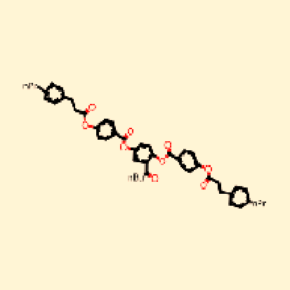 CCCCC(=O)c1cc(OC(=O)c2ccc(OC(=O)CCc3ccc(CCC)cc3)cc2)ccc1OC(=O)c1ccc(OC(=O)CCc2ccc(CCC)cc2)cc1